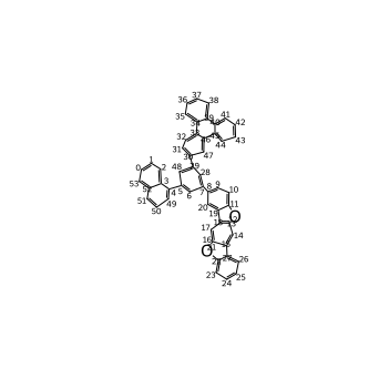 c1ccc2c(-c3cc(-c4ccc5oc6cc7c(cc6c5c4)oc4ccccc47)cc(-c4ccc5c6ccccc6c6ccccc6c5c4)c3)cccc2c1